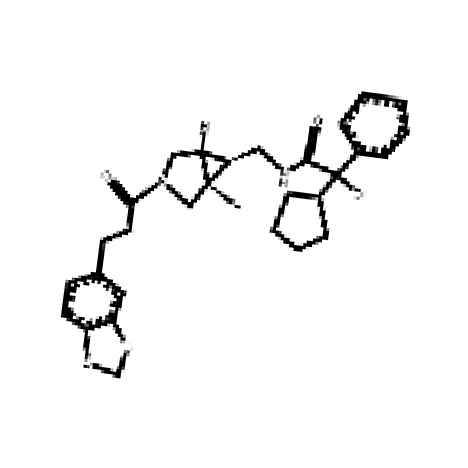 O=C(CCc1ccc2c(c1)OCO2)N1C[C@@H]2[C@@H](CNC(=O)C(O)(c3ccccc3)C3CCCC3)[C@@H]2C1